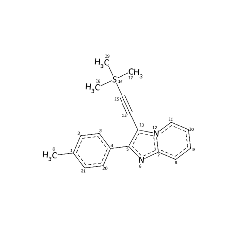 Cc1ccc(-c2nc3ccccn3c2C#CS(C)(C)C)cc1